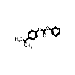 C=C(C)c1ccc(OC(=O)Oc2ccccc2)cc1